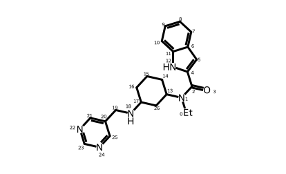 CCN(C(=O)c1cc2ccccc2[nH]1)C1CCCC(NCc2cncnc2)C1